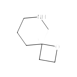 C1CNC[C@@]2(C1)CCO2